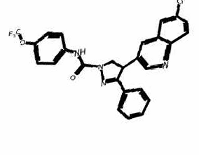 O=C(Nc1ccc(OC(F)(F)F)cc1)N1CC(c2cnc3ccc(Cl)cc3c2)C(c2ccccc2)=N1